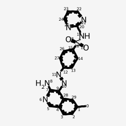 Cc1ccc2cnc(N)c(/N=N/c3ccc(S(=O)(=O)Nc4ncccn4)cc3)c2c1